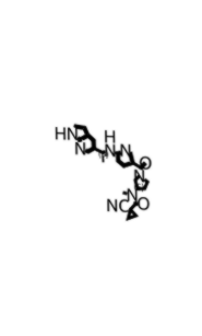 C[C@H](Nc1ccc(C(=O)N2CC[C@H](N(C)C(=O)C3(C#N)CC3)C2)cn1)c1cnc2[nH]ccc2c1